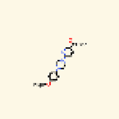 CCCCCCCOc1ccc(N2CCN(c3ccc(C(=O)OC)cn3)CC2)cc1